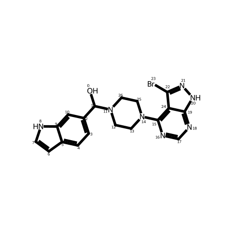 OC(c1ccc2cc[nH]c2c1)N1CCN(c2ncnc3[nH]nc(Br)c23)CC1